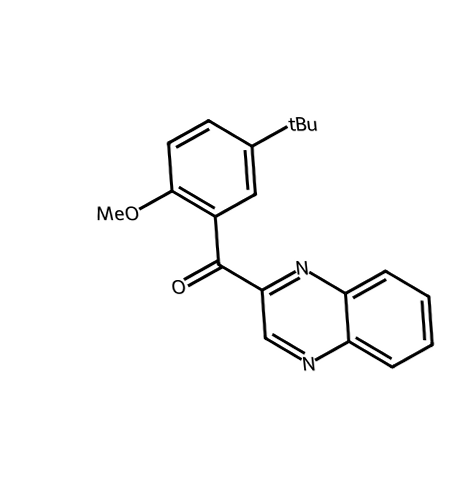 COc1ccc(C(C)(C)C)cc1C(=O)c1cnc2ccccc2n1